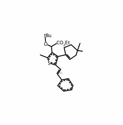 CCOC(=O)C(OC(C)(C)C)c1c(C)sc(/C=C/c2ccccc2)c1C1=CCC(C)(C)CC1